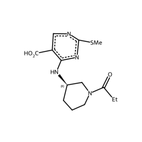 CCC(=O)N1CCC[C@@H](Nc2nc(SC)ncc2C(=O)O)C1